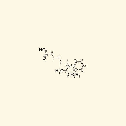 CC(C)=[N+](CCCCCC(=O)O)c1ccccc1C